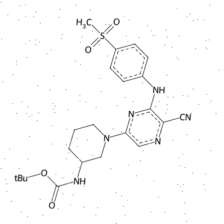 CC(C)(C)OC(=O)NC1CCCN(c2cnc(C#N)c(Nc3ccc(S(C)(=O)=O)cc3)n2)C1